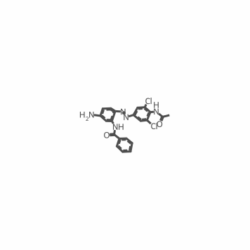 CC(=O)Nc1c(Cl)cc(N=Nc2ccc(N)cc2NC(=O)c2ccccc2)cc1Cl